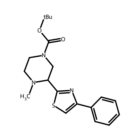 CN1CCN(C(=O)OC(C)(C)C)CC1c1nc(-c2ccccc2)cs1